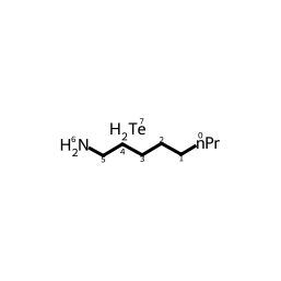 CCCCCCCCN.[TeH2]